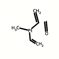 C=[CH][Pt]([CH3])[CH]=C.[C]=O